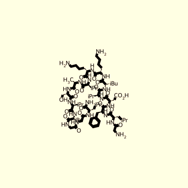 CC[C@H](C)[C@H](NC(=O)[C@@H](NC(=O)[C@H](CO)NC(=O)[C@H](C)NC(=O)[C@@H](NC(=O)[C@H](CCCCN)NC(=O)[C@H](CCCCN)NC(=O)[C@@H](NC(=O)[C@@H](NC(=O)[C@H](CC(=O)O)NC(=O)[C@H](Cc1ccccc1)NC(=O)[C@H](CC(C)C)NC(=O)CN)C(C)C)[C@@H](C)CC)C(C)C)C(C)C)C(=O)NCC(=O)NCC(=O)N[C@@H](CC(C)C)C(N)=O